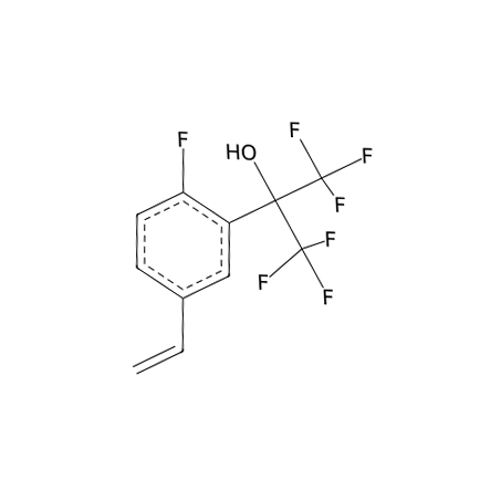 C=Cc1ccc(F)c(C(O)(C(F)(F)F)C(F)(F)F)c1